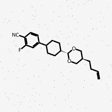 C=CCC[C@H]1CO[C@H](C2CCC(c3ccc(C#N)c(F)c3)CC2)OC1